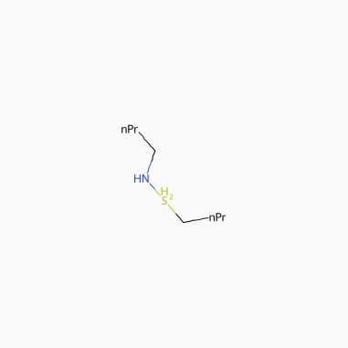 CCCCN[SH2]CCCC